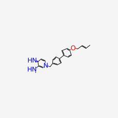 C/C=C/COc1ccc(-c2ccc(Cn3ccc(=N)c(NC)c3)cc2)cc1